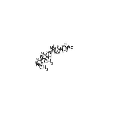 CC(=O)N1CCN(c2cc3cnc(NCc4cnc(-c5ccnc(C)c5)c(C)c4)n3cn2)CC1